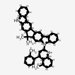 Cc1ccccc1-c1cc(-n2c3ccccc3c3cc4c(cc32)C(C)(C)c2cc3[nH]c5ccccc5c3cc2-4)nc2cccc(C)c12